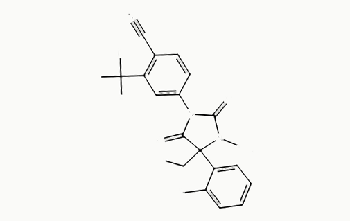 CN1C(=O)N(c2ccc(C#N)c(C(F)(F)F)c2)C(=O)C1(CO)c1ccccc1Cl